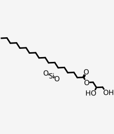 CCCCCCCCCCCCCCCCCC(=O)OCC(O)CO.O=[Si]=O